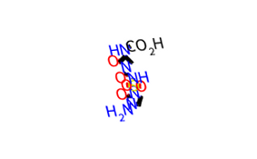 NN1CCN(S(=O)(=O)NC(=O)N2CC(NC(=O)O)C2=O)C1=O